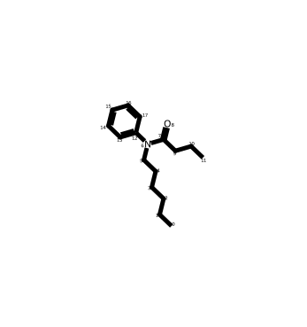 CCCCCCN(C(=O)CCC)c1ccccc1